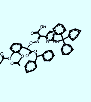 CC(=O)Oc1cccc([C@@H](O/N=C(\C(=O)O)c2csc(NC(c3ccccc3)(c3ccccc3)c3ccccc3)n2)C(=O)OC(c2ccccc2)c2ccccc2)c1OC(C)=O